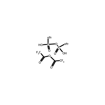 CCCP(=O)(O)OP(=O)(O)CCC.O=C(OC(=O)C(F)(F)F)C(F)(F)F